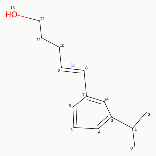 CC(C)c1cccc(/C=C/CCCO)c1